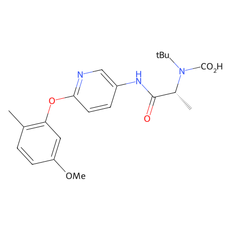 COc1ccc(C)c(Oc2ccc(NC(=O)[C@@H](C)N(C(=O)O)C(C)(C)C)cn2)c1